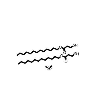 CCCCCCCCCCCCCOC(=O)CCS.CCCCCCCCCCCCCOC(=O)CCS.[CH3][Sn][CH3]